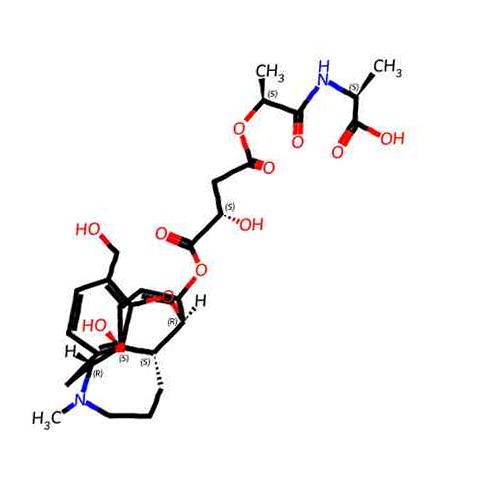 C[C@H](NC(=O)[C@H](C)OC(=O)C[C@H](O)C(=O)OC1=CC[C@@]2(O)[C@H]3Cc4ccc(CO)c5c4[C@@]2(CCCN3C)[C@H]1O5)C(=O)O